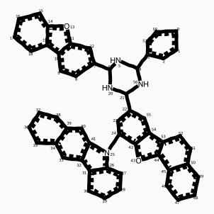 c1ccc(C2NC(c3ccc4c(c3)oc3ccccc34)NC(c3cc(-n4c5ccccc5c5cc6ccccc6cc54)c4oc5c6ccccc6ccc5c4c3)N2)cc1